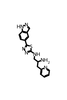 NC(CNc1nnc(-c2ccc3[nH]ncc3c2)s1)Cc1ccccn1